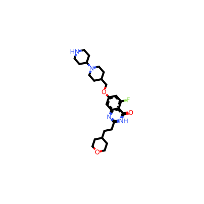 O=c1[nH]c(CCC2CCOCC2)nc2cc(OCC3CCN(C4CCNCC4)CC3)cc(F)c12